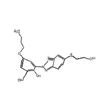 CC(=O)OCCCOc1cc(-n2nc3ccc(SCCOC(C)=O)cc3n2)c(O)c(C(C)(C)C)c1